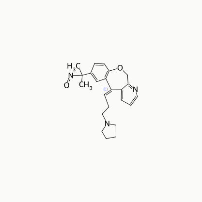 CC(C)(N=O)c1ccc2c(c1)/C(=C/CCN1CCCC1)c1cccnc1CO2